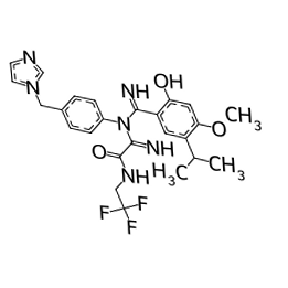 COc1cc(O)c(C(=N)N(C(=N)C(=O)NCC(F)(F)F)c2ccc(Cn3ccnc3)cc2)cc1C(C)C